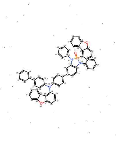 O=P1(c2cccc3oc4ccccc4c23)N(c2ccccc2)c2ccc(-c3ccc(N(c4ccc(-c5ccccc5)cc4)c4cccc5oc6ccccc6c45)cc3)cc2N1c1ccccc1